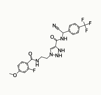 COc1ccc(C(=O)NCCN2C=C(C(=O)NC(C#N)c3ccc(C(F)(F)F)cc3)NN2)c(F)c1